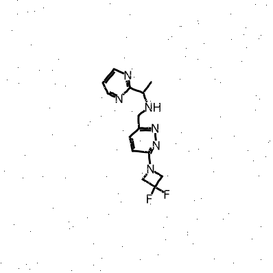 CC(NCc1ccc(N2CC(F)(F)C2)nn1)c1ncccn1